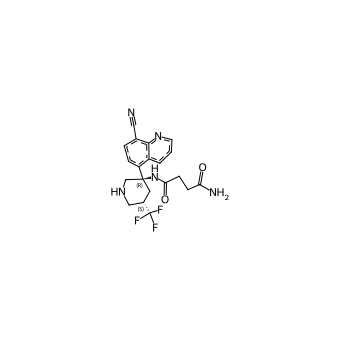 N#Cc1ccc([C@@]2(NC(=O)CCC(N)=O)CNC[C@@H](C(F)(F)F)C2)c2cccnc12